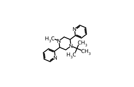 CN1CC(c2ccccn2)N(C(C)(C)C)CC1c1ccccn1